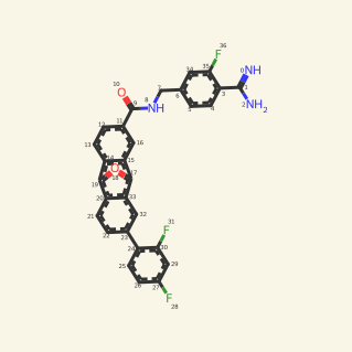 N=C(N)c1ccc(CNC(=O)c2ccc3c(c2)c2oc3c3ccc(-c4ccc(F)cc4F)cc32)cc1F